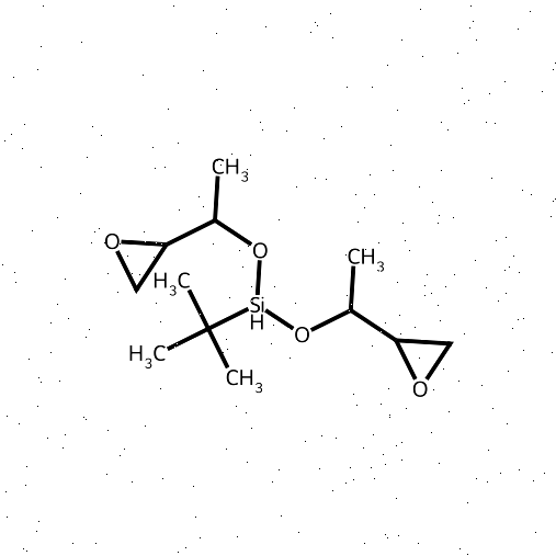 CC(O[SiH](OC(C)C1CO1)C(C)(C)C)C1CO1